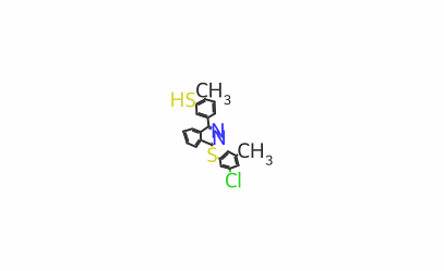 Cc1cc(Cl)cc(Sc2nnc(-c3ccc(C)c(S)c3)c3ccccc23)c1